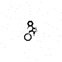 O=C1ON=C(c2ccccc2F)C1=CN1CCCCCCC1